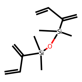 C=CC(=C)[Si](C)(C)O[Si](C)(C)C(=C)C=C